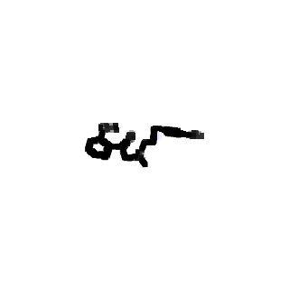 CN(C/C=C/C#CC(C)(C)C)CC(=O)c1ccccc1O